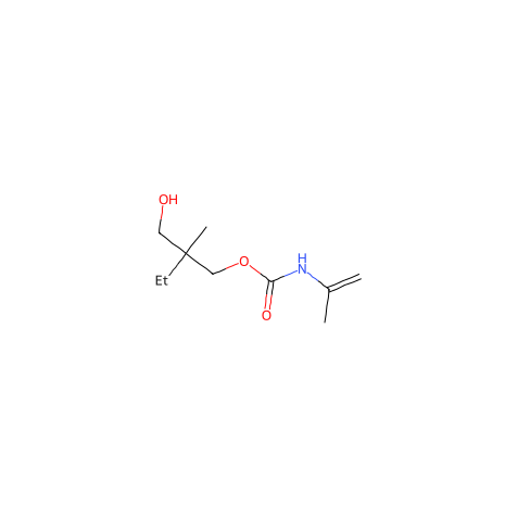 C=C(C)NC(=O)OCC(C)(CC)CO